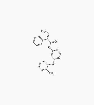 CC=C(C(=O)Oc1cc(Oc2ccccc2C)ncn1)c1ccccc1